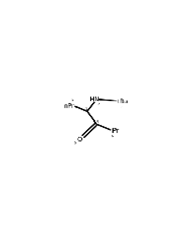 CCCC(NC(C)(C)C)C(=O)C(C)C